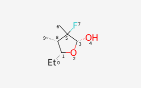 CC[C@H]1O[C@@H](O)C(C)(F)[C@H]1C